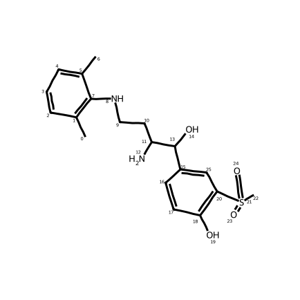 Cc1cccc(C)c1NCCC(N)C(O)c1ccc(O)c(S(C)(=O)=O)c1